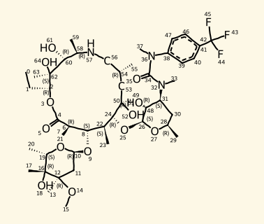 CC[C@H]1OC(=O)[C@H](C)[C@@H](O[C@H]2C[C@@](C)(OC)[C@](C)(O)[C@H](C)O2)[C@H](C)[C@@H](O[C@@H]2O[C@H](C)C[C@H](N(C)C(=O)N(C)c3ccc(C(F)(F)F)cc3)[C@H]2O)[C@](C)(O)C[C@@H](C)CN[C@H](C)[C@@H](O)[C@]1(C)O